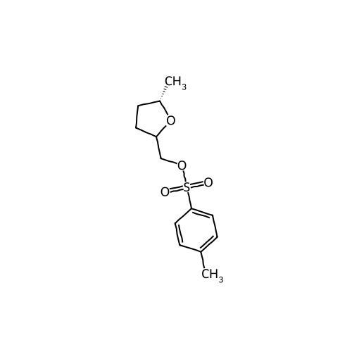 Cc1ccc(S(=O)(=O)OCC2CC[C@H](C)O2)cc1